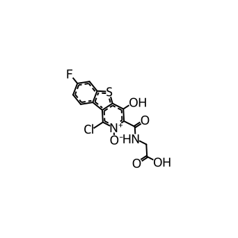 O=C(O)CNC(=O)c1c(O)c2sc3cc(F)ccc3c2c(Cl)[n+]1[O-]